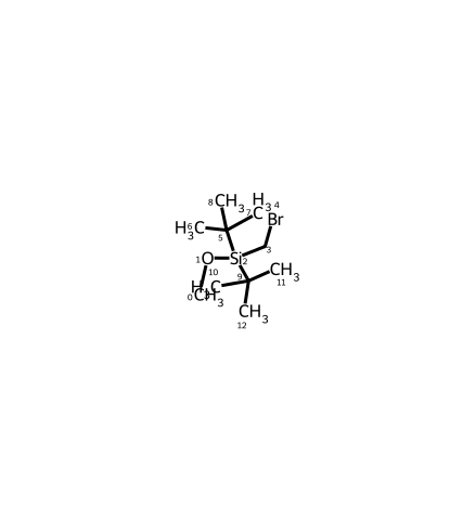 CO[Si](CBr)(C(C)(C)C)C(C)(C)C